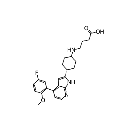 COc1ccc(F)cc1-c1ccnc2[nH]c([C@H]3CC[C@H](NCCCC(=O)O)CC3)cc12